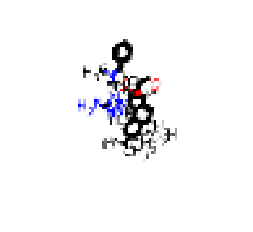 CC(C)[C@@H](C)[C@@]1(C)CC[C@]2(C)[C@H]3CC[C@@H]4[C@@]5(COC[C@@]4(C)[C@@H](OC[C@@H](c4ccccc4)N(C)C)[C@H](n4nnc(N)n4)C5)C3=CC[C@@]2(C)[C@@H]1C(=O)O